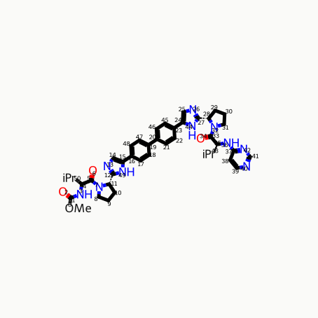 COC(=O)NC(C(=O)N1CCC[C@H]1c1ncc(-c2ccc(-c3ccc(-c4cnc([C@@H]5CCCN5C(=O)[C@@H](Nc5ccncn5)C(C)C)[nH]4)cc3)cc2)[nH]1)C(C)C